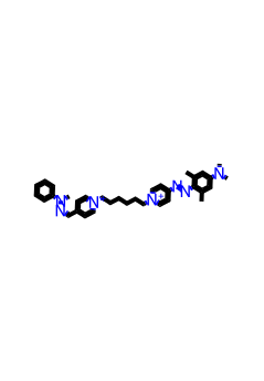 Cc1cc(N(C)C)cc(C)c1/N=N/c1cc[n+](CCCCCC[n+]2ccc(/C=N\N(C)c3ccccc3)cc2)cc1